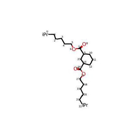 CC(C)CCCCCOC(=O)C1CCCC(C(=O)OCCCCCC(C)C)C1